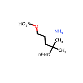 CCCCCC(C)(C)CCCOS(=O)(=O)O.N